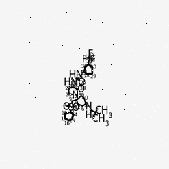 CC(C)CNC1CCC(CS(=O)(=O)c2ccccc2)(N2CC[C@H](NC(=O)Nc3cccc(C(F)(F)F)c3)C2=O)CC1